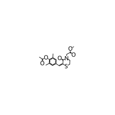 COC(=O)CN1CCS/C(=C/c2cc(C)c(OC(C)=O)c(C)c2)C1=O